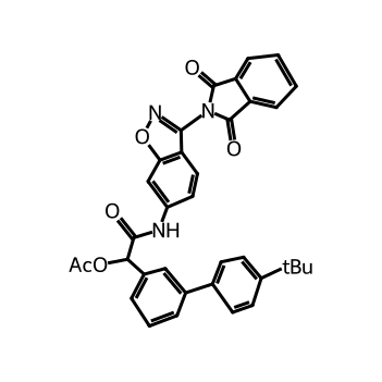 CC(=O)OC(C(=O)Nc1ccc2c(N3C(=O)c4ccccc4C3=O)noc2c1)c1cccc(-c2ccc(C(C)(C)C)cc2)c1